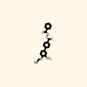 CCC(C)COc1ccc(-c2ccc(C(=O)OOC(=O)c3ccccc3)cc2)cc1[N+](=O)[O-]